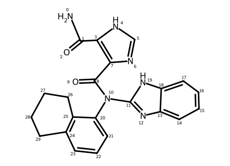 NC(=O)c1[nH]cnc1C(=O)N(c1nc2ccccc2[nH]1)c1cccc2c1CCCC2